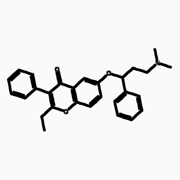 CCc1oc2ccc(OC(CCN(C)C)c3ccccc3)cc2c(=O)c1-c1ccccc1